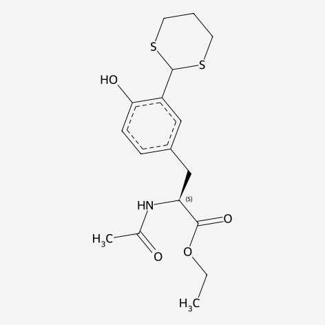 CCOC(=O)[C@H](Cc1ccc(O)c(C2SCCCS2)c1)NC(C)=O